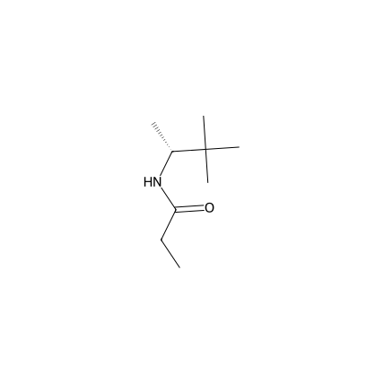 CCC(=O)N[C@H](C)C(C)(C)C